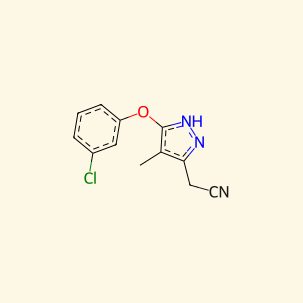 Cc1c(CC#N)n[nH]c1Oc1cccc(Cl)c1